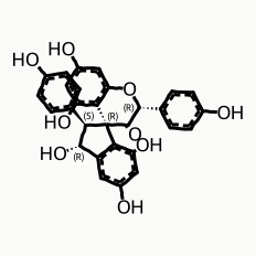 O=C1[C@@H](c2ccc(O)cc2)Oc2cc(O)cc(O)c2[C@@]12c1c(O)cc(O)cc1[C@H](O)[C@H]2c1ccc(O)cc1